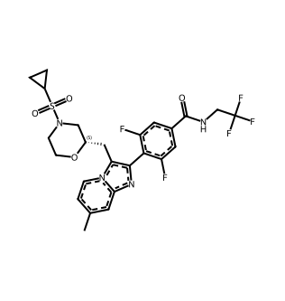 Cc1ccn2c(C[C@H]3CN(S(=O)(=O)C4CC4)CCO3)c(-c3c(F)cc(C(=O)NCC(F)(F)F)cc3F)nc2c1